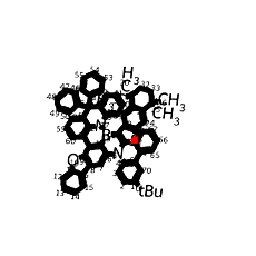 CC(C)(C)c1ccc(N2c3cc4c(oc5ccccc54)c4c3B(c3c2sc2cc5c(cc32)C(C)(C)CCC5(C)C)N2c3ccccc3C(c3ccccc3)(c3ccccc3)c3cccc-4c32)c(-c2ccccc2)c1